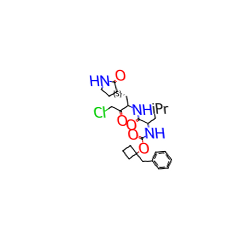 CC(C)CC(NC(=O)OC1(Cc2ccccc2)CCC1)C(=O)NC(C[C@@H]1CCNC1=O)C(=O)CCl